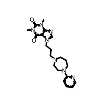 Cn1c(=O)c2c(ncn2CCCN2CCCN(c3ccccn3)CC2)n(C)c1=O